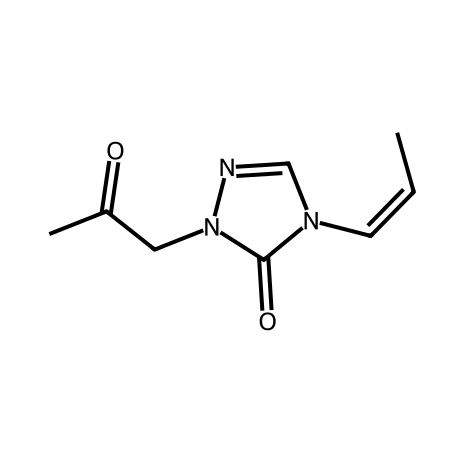 C/C=C\n1cnn(CC(C)=O)c1=O